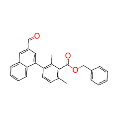 Cc1ccc(-c2cc(C=O)cc3ccccc23)c(C)c1C(=O)OCc1ccccc1